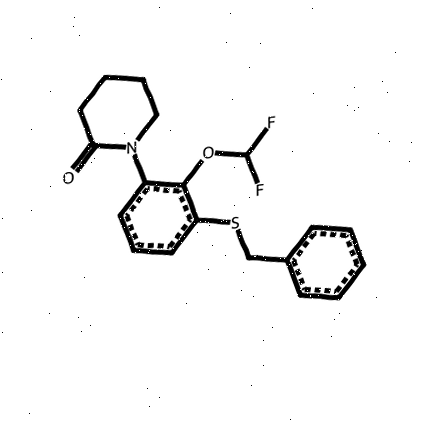 O=C1CCCCN1c1cccc(SCc2ccccc2)c1OC(F)F